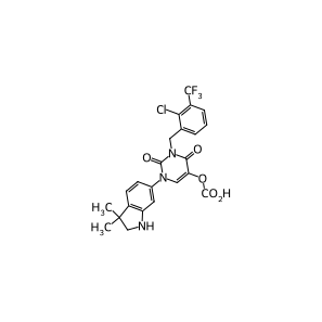 CC1(C)CNc2cc(-n3cc(OC(=O)O)c(=O)n(Cc4cccc(C(F)(F)F)c4Cl)c3=O)ccc21